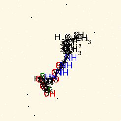 Cc1cc(C(=O)NCC(=O)NCCC(=O)NCCCN[C@H]2CC[C@@]3(C)C(=CCC4C3CC[C@@]3(C)C4CC[C@@H]3[C@H](C)CCCC(C)C)C2)ccc1-c1c2cc(F)c(=O)cc-2oc2cc(O)c(F)cc12